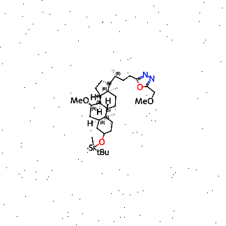 COCc1nnc(CC[C@@H](C)[C@H]2CC[C@H]3[C@@H]4[C@H](OC)C[C@@H]5CC(O[Si](C)(C)C(C)(C)C)CC[C@]5(C)[C@H]4CC[C@]23C)o1